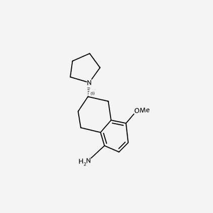 COc1ccc(N)c2c1C[C@@H](N1CCCC1)CC2